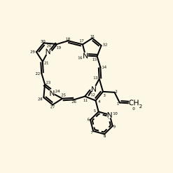 C=CCC1=C(c2ccccn2)C2=NC1=CC1=NC(=CC3=NC(=CC4=NC(=C2)C=C4)C=C3)C=C1